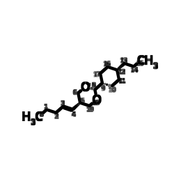 CCCC=C[C@H]1CO[C@H]([C@H]2CC[C@H](CCC)CC2)OC1